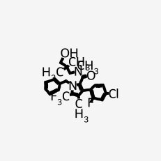 Cc1c(-c2ccc(Cl)cc2F)c(C(=O)N(C)CC(C)(C)CO)n(Cc2ccccc2)c1C(F)(F)F